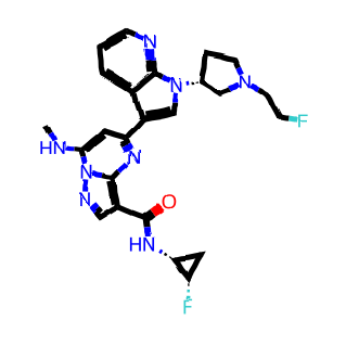 CNc1cc(-c2cn([C@@H]3CCN(CCF)C3)c3ncccc23)nc2c(C(=O)N[C@@H]3C[C@@H]3F)cnn12